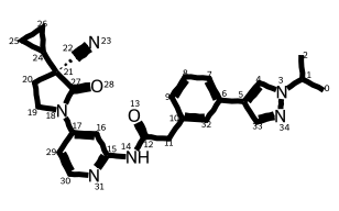 CC(C)n1cc(-c2cccc(CC(=O)Nc3cc(N4CC[C@@](C#N)(C5CC5)C4=O)ccn3)c2)cn1